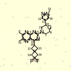 Cc1nc2nc(N3CCOC(c4cnn(C)c4)C3)nc(C3CC4(C3)CC(F)(F)C4)c2nc1C